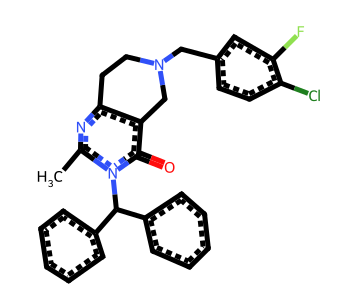 Cc1nc2c(c(=O)n1C(c1ccccc1)c1ccccc1)CN(Cc1ccc(Cl)c(F)c1)CC2